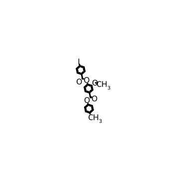 COc1cc(C(=O)Oc2ccc(C)cc2)ccc1OC(=O)c1ccc(I)cc1